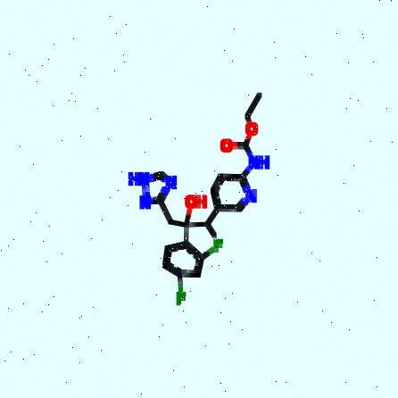 CCOC(=O)Nc1ccc(C(C)C(O)(Cc2nc[nH]n2)c2ccc(F)cc2F)cn1